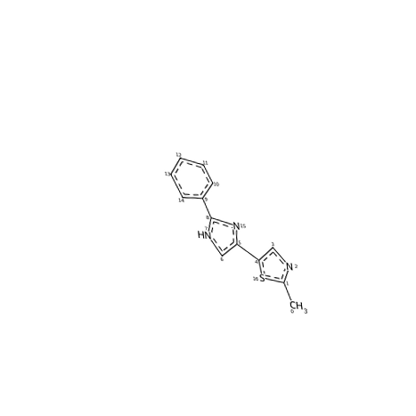 Cc1ncc(-c2c[nH]c(-c3ccccc3)n2)s1